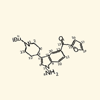 CCC(C)N1CCC(c2cn(N)c3ccc(C(=O)c4ccco4)cc23)CC1